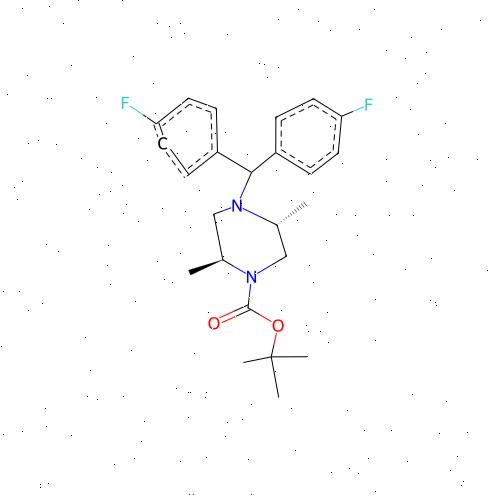 C[C@@H]1CN(C(=O)OC(C)(C)C)[C@@H](C)CN1C(c1ccc(F)cc1)c1ccc(F)cc1